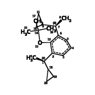 C[C@@H](c1cccc([C@H](C)C2CC2)c1OC(C)(C)C)C1CC1